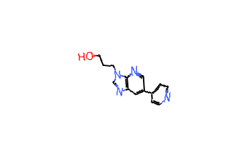 OCCCn1cnc2cc(-c3ccncc3)cnc21